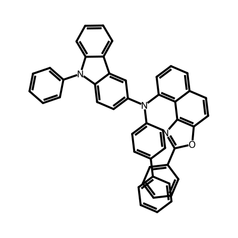 c1ccc(-c2ccc(N(c3ccc4c(c3)c3ccccc3n4-c3ccccc3)c3cccc4ccc5oc(-c6ccccc6)nc5c34)cc2)cc1